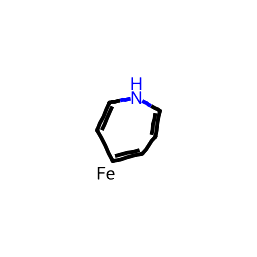 C1=CC=CNC=C1.[Fe]